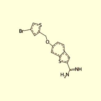 N=C(N)c1cc2ccc(OCc3cc(Br)cs3)cc2s1